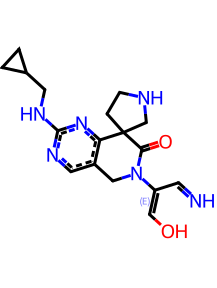 N=C/C(=C\O)N1Cc2cnc(NCC3CC3)nc2C2(CCNC2)C1=O